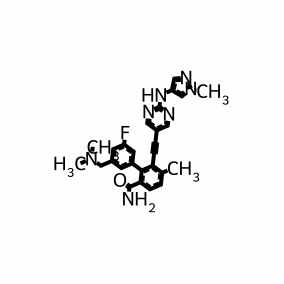 Cc1ccc(C(N)=O)c(-c2cc(F)cc(CN(C)C)c2)c1C#Cc1cnc(Nc2cnn(C)c2)nc1